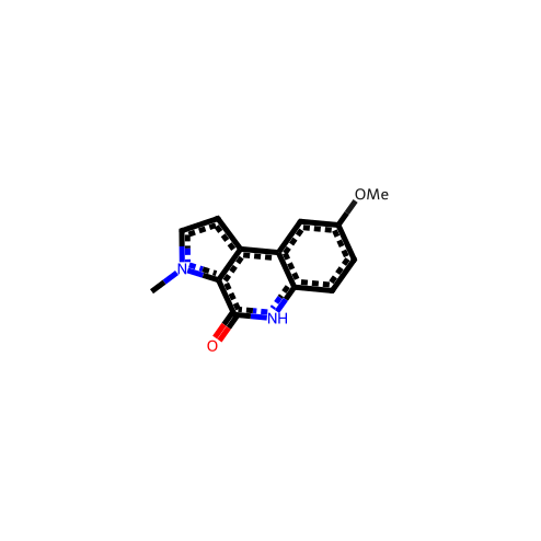 COc1ccc2[nH]c(=O)c3c(ccn3C)c2c1